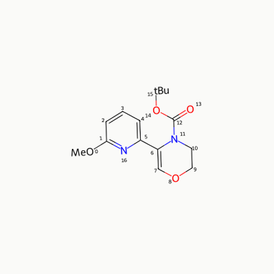 COc1cccc(C2=COCCN2C(=O)OC(C)(C)C)n1